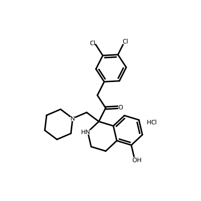 Cl.O=C(Cc1ccc(Cl)c(Cl)c1)C1(CN2CCCCC2)NCCc2c(O)cccc21